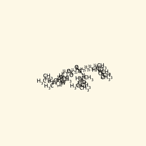 CC(C)CCC[C@@H](C)[C@H]1CC[C@H]2[C@@H]3CC=C4C[C@@H](OC(=O)CCC(=O)N(CCCCCCCC(C)NC(=O)OC(C)(C)C)CCC(C)NC(=O)OC(C)(C)C)CC[C@]4(C)[C@H]3CC[C@]12C